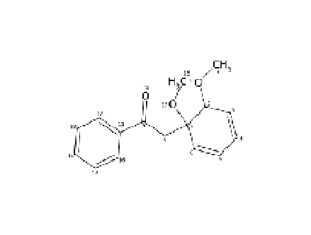 COC1C=CC=CC1(CC(=O)c1ccccc1)OC